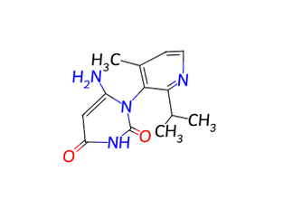 Cc1ccnc(C(C)C)c1-n1c(N)cc(=O)[nH]c1=O